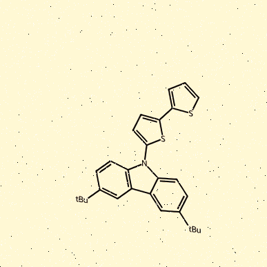 CC(C)(C)c1ccc2c(c1)c1cc(C(C)(C)C)ccc1n2-c1ccc(-c2cccs2)s1